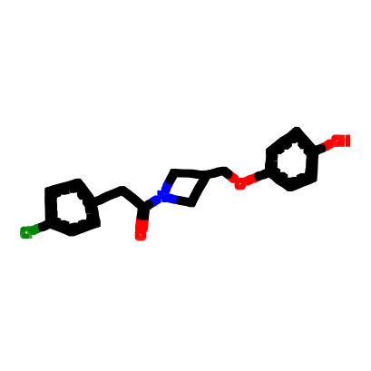 O=C(Cc1ccc(Cl)cc1)N1CC(COc2ccc(O)cc2)C1